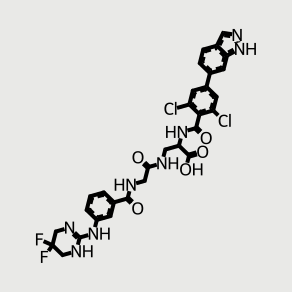 O=C(CNC(=O)c1cccc(NC2=NCC(F)(F)CN2)c1)NCC(NC(=O)c1c(Cl)cc(-c2ccc3cn[nH]c3c2)cc1Cl)C(=O)O